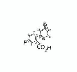 O=C(O)Cc1cc(F)ccc1-c1cccc(F)c1